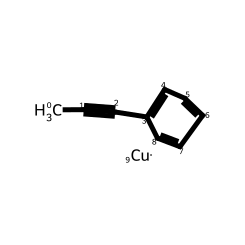 CC#Cc1ccccc1.[Cu]